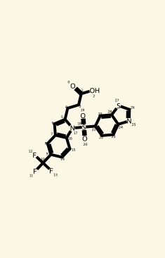 O=C(O)CCc1cc2cc(C(F)(F)F)ccc2n1S(=O)(=O)c1ccc2ncsc2c1